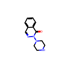 O=c1c2ccccc2cnn1N1CCNCC1